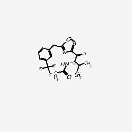 CC(=O)N[C@H](C(=O)c1noc(Cc2cccc(C(F)(F)F)c2)n1)C(C)C